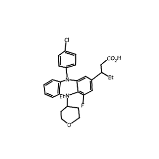 CCC(CC(=O)O)c1cc(F)c(N(CC)C2CCOCC2)c(N(c2ccccc2)c2ccc(Cl)cc2)c1